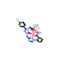 CCCNC(=O)c1ccccc1-n1cnc(Cn2nc(-c3ccc(Cl)cc3)n(C[C@H](O)C(F)(F)F)c2=O)n1